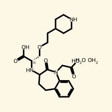 O.O.O=C(O)CN1C(=O)C(N[C@@H](COCCC2CCNCC2)C(=O)O)CCc2ccccc21